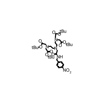 CC(C)(C)OC(=O)CN(CCN(CCN(CC(=O)OC(C)(C)C)CC(=O)OC(C)(C)C)CC(=O)NCc1ccc([N+](=O)[O-])cc1)CC(=O)OC(C)(C)C